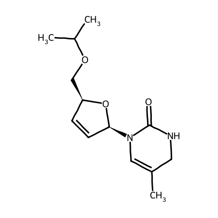 CC1=CN([C@H]2C=C[C@@H](COC(C)C)O2)C(=O)NC1